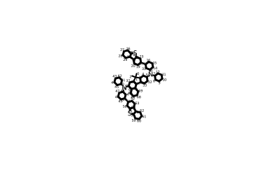 CC1(C)c2cc(N(c3ccccc3)c3cccc(-c4ccc5c(c4)sc4ccccc45)c3)ccc2-c2c1cc(N(c1ccccc1)c1cccc(-c3ccc4c(c3)sc3ccccc34)c1)c1ccccc21